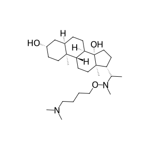 CC([C@H]1CC[C@]2(O)[C@@H]3CC[C@@H]4C[C@@H](O)CC[C@]4(C)[C@H]3CC[C@]12C)N(C)OCCCCN(C)C